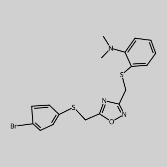 CN(C)c1ccccc1SCc1noc(CSc2ccc(Br)cc2)n1